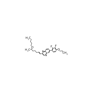 C=CCOc1ccc(-c2ccc3nc(C=CCCCC(C)OCCCCC)cnc3c2)c(F)c1F